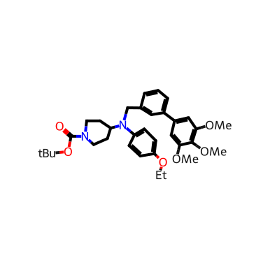 CCOc1ccc(N(Cc2cccc(-c3cc(OC)c(OC)c(OC)c3)c2)C2CCN(C(=O)OC(C)(C)C)CC2)cc1